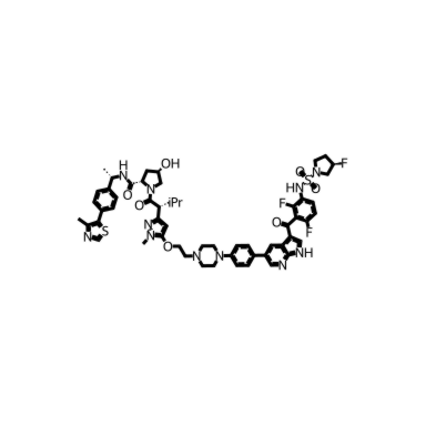 Cc1ncsc1-c1ccc([C@H](C)NC(=O)[C@@H]2C[C@@H](O)CN2C(=O)[C@@H](c2cc(OCCN3CCN(c4ccc(-c5cnc6[nH]cc(C(=O)c7c(F)ccc(NS(=O)(=O)N8CC[C@@H](F)C8)c7F)c6c5)cc4)CC3)n(C)n2)C(C)C)cc1